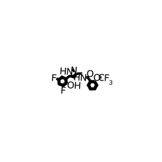 O=C(NCc1cc(-c2cc(F)cc(F)c2O)[nH]n1)c1ccccc1OC(F)(F)F